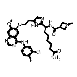 COc1cc2ncnc(Nc3ccc(F)c(Cl)c3)c2cc1OCCc1cnc([C@H](CCCCCC(N)=O)NC(=O)C2CN(C)C2)[nH]1